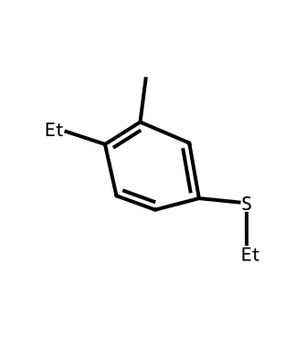 CCSc1ccc(CC)c(C)c1